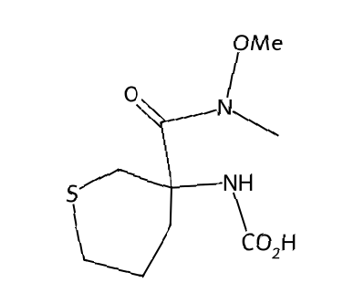 CON(C)C(=O)C1(NC(=O)O)CCCSC1